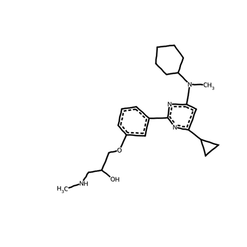 CNCC(O)COc1cccc(-c2nc(C3CC3)cc(N(C)C3CCCCC3)n2)c1